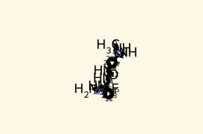 CN/C=C(\C=N)c1ccc(NC(=O)NCC2N/C(=C\N)c3cccc(F)c32)cc1